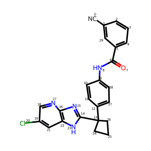 N#Cc1cccc(C(=O)Nc2ccc(C3(c4nc5ncc(Cl)cc5[nH]4)CCC3)cc2)c1